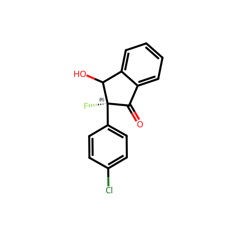 O=C1c2ccccc2C(O)[C@]1(F)c1ccc(Cl)cc1